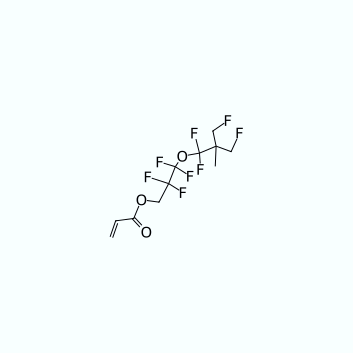 C=CC(=O)OCC(F)(F)C(F)(F)OC(F)(F)C(C)(CF)CF